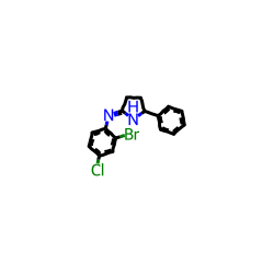 Clc1ccc(N=C2CCC(c3ccccc3)N2)c(Br)c1